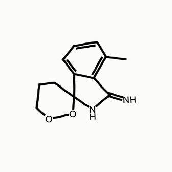 Cc1cccc2c1C(=N)NC21CCCOO1